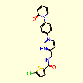 CN(/C=C\C(=N)CNC(=O)c1ccc(Cl)s1)c1ccc(-n2ccccc2=O)cc1